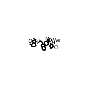 COC(=O)C1(Nc2cccc(Cl)c2)CCC2(CC1)c1ccccc1CC2C[C@@H](C)Cn1cc(C)c(=O)c2c1CCCC2C